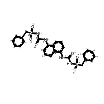 O=C(Nc1cccc2c(NC(=O)NS(=O)(=O)Cc3ccccc3)cccc12)NS(=O)(=O)Cc1ccccc1